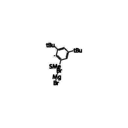 CSc1[c]c(C(C)(C)C)cc(C(C)(C)C)c1.[Br][Mg][Br]